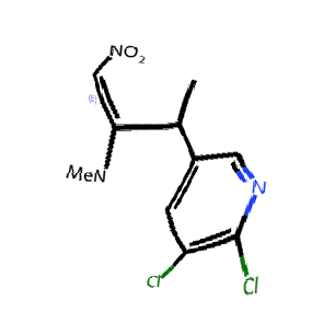 CN/C(=C/[N+](=O)[O-])C(C)c1cnc(Cl)c(Cl)c1